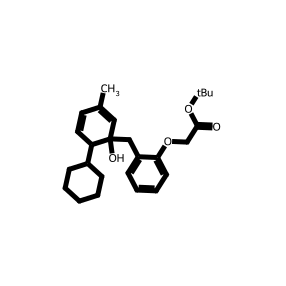 CC1=CC(O)(Cc2ccccc2OCC(=O)OC(C)(C)C)C(C2CCCCC2)C=C1